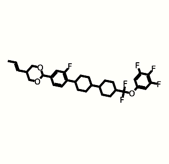 C/C=C/C1COC(c2ccc(C3CCC(C4CCC(C(F)(F)Oc5cc(F)c(F)c(F)c5)CC4)CC3)c(F)c2)OC1